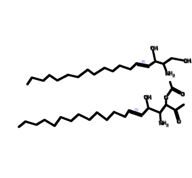 CCCCCCCCCCCCC/C=C/C(O)C(N)C(OC(C)=O)C(C)=O.CCCCCCCCCCCCC/C=C/C(O)C(N)CO